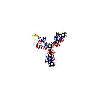 CCOC(C)(C)CCC(=O)N(CCCC(=O)NCCS)c1cc(COc2cc3c(cc2OC)C(=O)N2c4ccccc4C[C@H]2C=N3)cc(COc2cc3c(cc2OC)C(=O)N2c4ccccc4C[C@H]2C=N3)c1